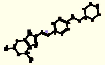 CCN1Cc2[nH]c(/C=C/c3ccc(OCC4CCOCC4)cc3)nc2N(CC)C1